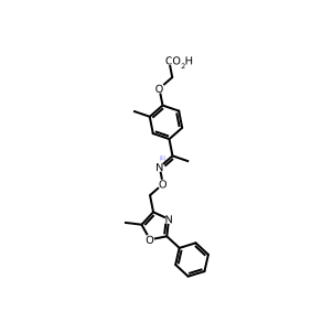 C/C(=N\OCc1nc(-c2ccccc2)oc1C)c1ccc(OCC(=O)O)c(C)c1